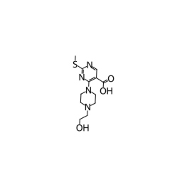 CSc1ncc(C(=O)O)c(N2CCN(CCO)CC2)n1